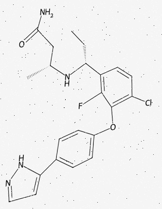 CC[C@@H](N[C@H](C)CC(N)=O)c1ccc(Cl)c(Oc2ccc(-c3ccn[nH]3)cc2)c1F